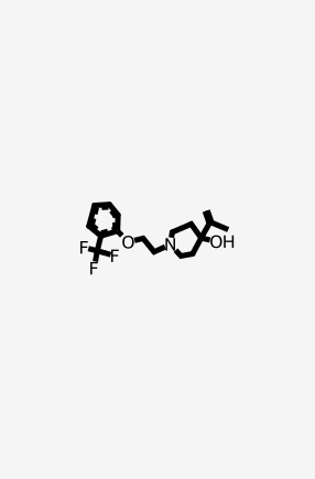 C=C(C)C1(O)CCN(CCOc2ccccc2C(F)(F)F)CC1